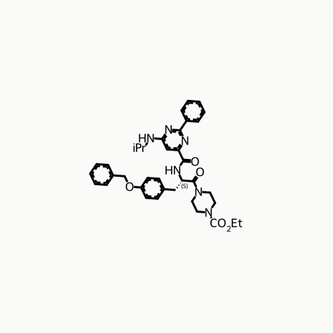 CCOC(=O)N1CCN(C(=O)[C@H](Cc2ccc(OCc3ccccc3)cc2)NC(=O)c2cc(NC(C)C)nc(-c3ccccc3)n2)CC1